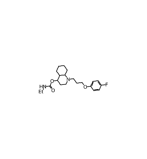 CCNC(=O)OC1CCN(CCCOc2ccc(F)cc2)C2CCCCC12